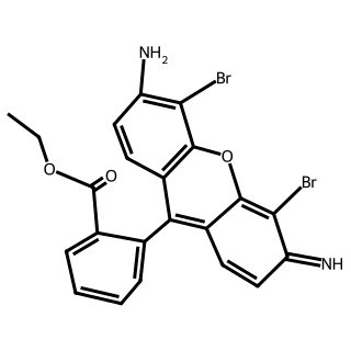 CCOC(=O)c1ccccc1-c1c2ccc(=N)c(Br)c-2oc2c(Br)c(N)ccc12